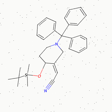 CC(C)(C)[Si](C)(C)OC1CCN(C(c2ccccc2)(c2ccccc2)c2ccccc2)CC1=CC#N